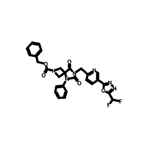 O=C(OCc1ccccc1)N1CC2(C1)C(=O)N(Cc1ccc(-c3nnc(C(F)F)o3)cn1)C(=O)N2c1ccccc1